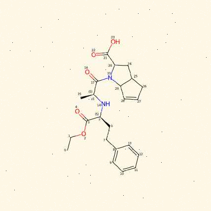 CCOC(=O)[C@H](CCc1ccccc1)N[C@@H](C)C(=O)N1C(C(=O)O)CC2CC=CC21